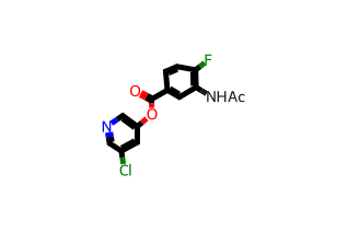 CC(=O)Nc1cc(C(=O)Oc2cncc(Cl)c2)ccc1F